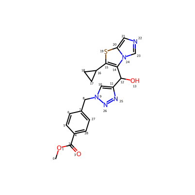 COC(=O)c1ccc(Cn2cc(C(O)c3c(C4CC4)sc4cncn34)nn2)cc1